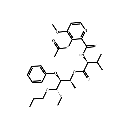 CCCO[C@@H](CC)[C@@H](Oc1ccccc1)[C@H](C)OC(=O)[C@@H](NC(=O)c1nccc(OC)c1OC(C)=O)C(C)C